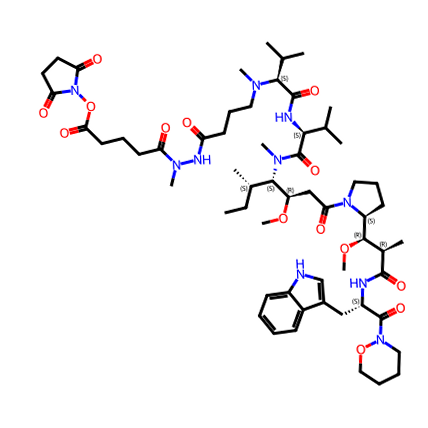 CC[C@H](C)[C@@H]([C@@H](CC(=O)N1CCC[C@H]1[C@H](OC)[C@@H](C)C(=O)N[C@@H](Cc1c[nH]c2ccccc12)C(=O)N1CCCCO1)OC)N(C)C(=O)[C@@H](NC(=O)[C@H](C(C)C)N(C)CCCC(=O)NN(C)C(=O)CCCC(=O)ON1C(=O)CCC1=O)C(C)C